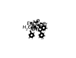 C=C(NCc1ccccc1)N1[C@H]2CN(CC(c3ccccc3)c3ccccc3)C(=O)[C@H](CC(C)C)N2C(=O)CN1CC